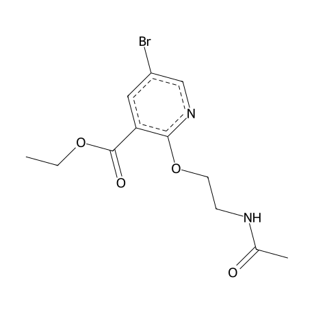 CCOC(=O)c1cc(Br)cnc1OCCNC(C)=O